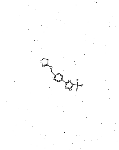 FC(F)(F)c1nc(-c2ccc(COC3=NOCC3)cc2)no1